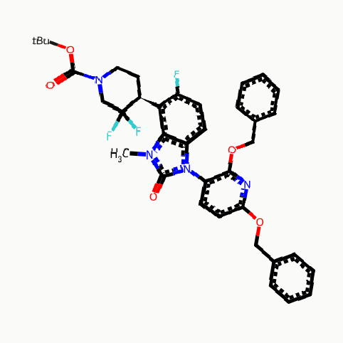 Cn1c(=O)n(-c2ccc(OCc3ccccc3)nc2OCc2ccccc2)c2ccc(F)c([C@@H]3CCN(C(=O)OC(C)(C)C)CC3(F)F)c21